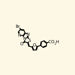 O=C(O)c1ccc(-c2ccc(/C=c3\sc4nc5cc(Br)cnc5n4c3=O)o2)cc1